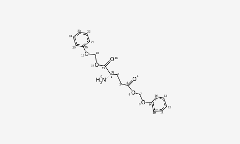 N[C@@H](CCC(=O)OCOc1ccccc1)C(=O)OCOc1ccccc1